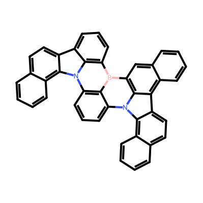 c1cc2c3c(c1)-n1c4c(cc5ccccc5c4c4ccc5ccccc5c41)B3c1cccc3c4ccc5ccccc5c4n-2c13